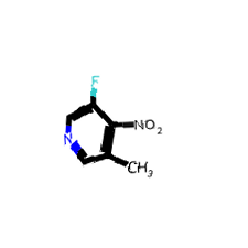 Cc1cncc(F)c1[N+](=O)[O-]